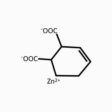 O=C([O-])C1C=CCCC1C(=O)[O-].[Zn+2]